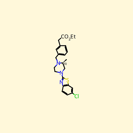 CCOC(=O)Cc1cccc(CN2CCN(c3nc4ccc(Cl)cc4s3)C[C@@H]2C)c1